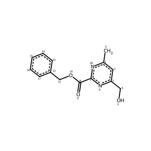 Cc1cc(CO)nc(C(=O)OCc2ccccc2)n1